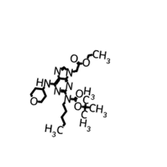 CCCCCN(C(=O)OC(C)(C)C)c1nc(NC2CCOCC2)c2ncn(CC(=O)OCC)c2n1